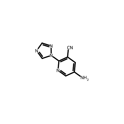 N#Cc1cc(N)cnc1-n1cncn1